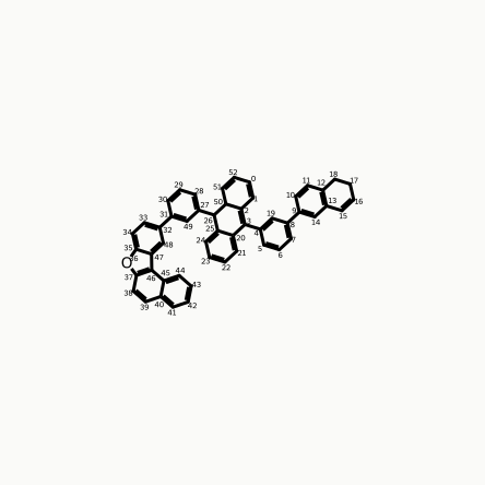 C1=CC2=C(c3cccc(-c4ccc5c(c4)C=CCC5)c3)c3ccccc3C(c3cccc(-c4ccc5oc6ccc7ccccc7c6c5c4)c3)C2C=C1